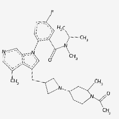 CC(=O)N1CCC(N2CC(Cc3cn(-c4ccc(F)cc4C(=O)N(C)C(C)C)c4cncc(C)c34)C2)CC1C